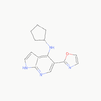 c1coc(-c2cnc3[nH]ccc3c2NC2CCCC2)n1